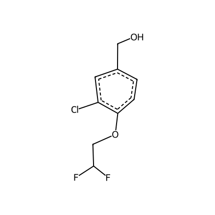 OCc1ccc(OCC(F)F)c(Cl)c1